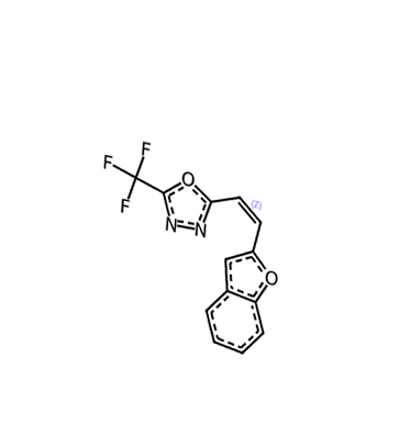 FC(F)(F)c1nnc(/C=C\c2cc3ccccc3o2)o1